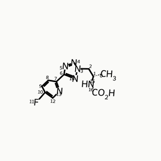 C[C@@H](Cn1nnc(-c2ccc(F)cn2)n1)NC(=O)O